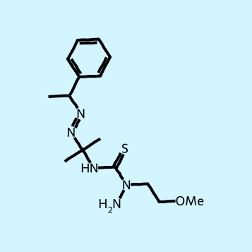 COCCN(N)C(=S)NC(C)(C)N=NC(C)c1ccccc1